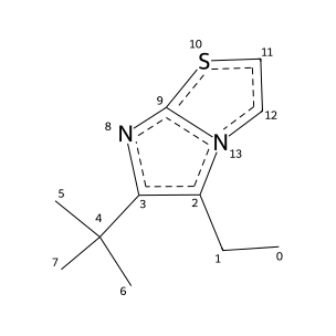 CCc1c(C(C)(C)C)nc2sccn12